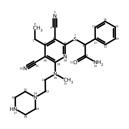 CCc1c(C#N)c(SC(C(N)=O)c2ccccc2)nc(N(C)CCN2CCNCC2)c1C#N